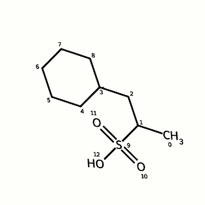 CC(C[C]1CCCCC1)S(=O)(=O)O